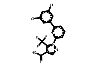 O=C(O)c1cnn(-c2cccc(-c3cc(Cl)cc(Cl)c3)n2)c1C(F)(F)F